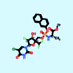 CC(C)OC(=O)[C@H](C)NP(=O)(OC[C@@]1(C(F)F)O[C@@H](n2cc(Cl)c(=O)[nH]c2=O)[C@@H](F)[C@@H]1O)Oc1ccc2ccccc2c1